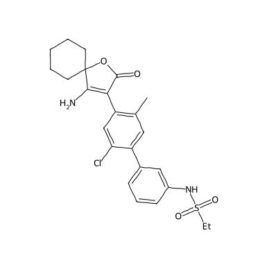 CCS(=O)(=O)Nc1cccc(-c2cc(C)c(C3=C(N)C4(CCCCC4)OC3=O)cc2Cl)c1